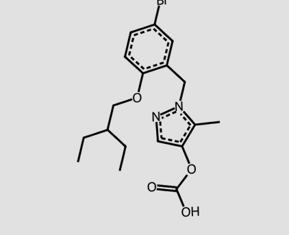 CCC(CC)COc1ccc(Br)cc1Cn1ncc(OC(=O)O)c1C